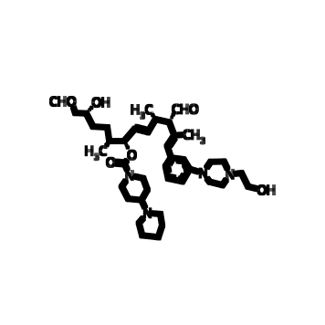 C/C(=C\c1cccc(N2CCN(CCO)CC2)c1)[C@@H](C=O)[C@@H](C)/C=C/[C@H](OC(=O)N1CCC(N2CCCCC2)CC1)[C@@H](C)CC[C@@H](O)CC=O